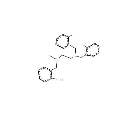 CN(CCN(Cc1ccccc1O)Cc1ccccc1O)Cc1ccccc1O